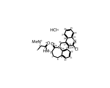 CN[C@@H](C)C(=O)N[C@H]1CCc2ccccc2N(Cc2c(C)c(Cl)nc3ccccc23)C1=O.Cl